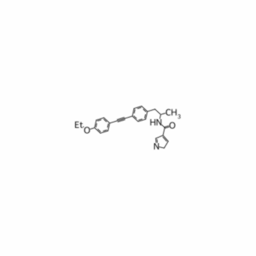 CCOc1ccc(C#Cc2ccc(CC(C)NC(=O)C3=CCN=C3)cc2)cc1